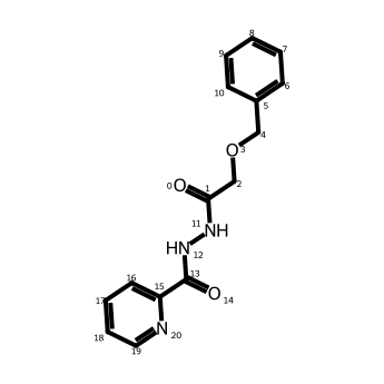 O=C(COCc1ccccc1)NNC(=O)c1ccccn1